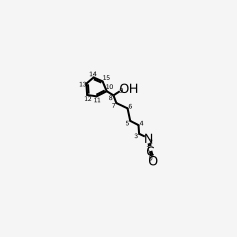 O=C=NCCCCCC(O)c1ccccc1